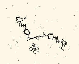 CC[n+]1ccsc1/N=N/c1ccc(N(C)CCOCCN(C)c2ccc(/N=N/c3scc[n+]3CC)cc2)cc1.O=S(=O)([O-])[O-]